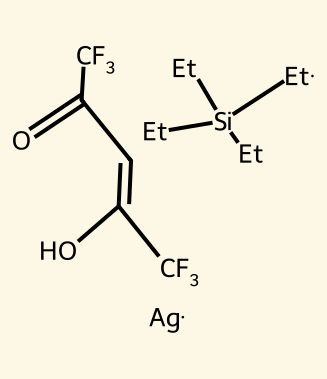 O=C(C=C(O)C(F)(F)F)C(F)(F)F.[Ag].[CH2][CH][Si](CC)(CC)CC